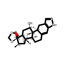 C[C@@H]1C[C@H]2[C@@H]3CCC4=Cc5[nH]ncc5C[C@]4(C)[C@@]3(F)[C@@H](O)C[C@]2(C)[C@]12OCOC21COCO1